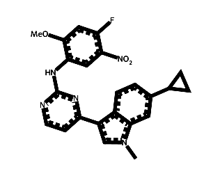 COc1cc(F)c([N+](=O)[O-])cc1Nc1nccc(-c2cn(C)c3cc(C4CC4)ccc23)n1